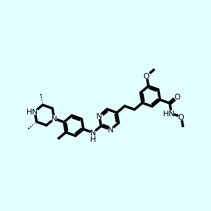 CONC(=O)c1cc(CCc2cnc(Nc3ccc(N4C[C@@H](C)N[C@@H](C)C4)c(C)c3)nc2)cc(OC)c1